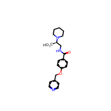 O=C(NC[C@@H](C(=O)O)N1CCCCC1)c1ccc(OCc2ccncc2)cc1